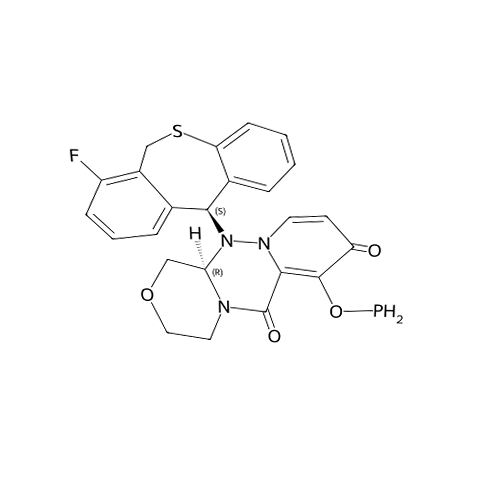 O=C1c2c(OP)c(=O)ccn2N([C@@H]2c3ccccc3SCc3c(F)cccc32)[C@@H]2COCCN12